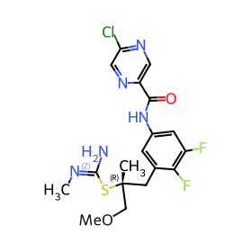 C/N=C(/N)S[C@@](C)(COC)Cc1cc(NC(=O)c2cnc(Cl)cn2)cc(F)c1F